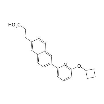 O=C(O)CCc1ccc2cc(-c3cccc(OC4CCC4)n3)ccc2c1